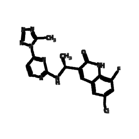 Cc1nnnn1-c1ccnc(N[C@@H](C)c2cc3cc(Cl)cc(F)c3[nH]c2=O)n1